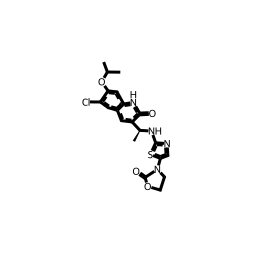 CC(C)Oc1cc2[nH]c(=O)c([C@H](C)Nc3ncc(N4CCOC4=O)s3)cc2cc1Cl